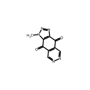 Cn1nnc2c1C(=O)c1cnncc1C2=O